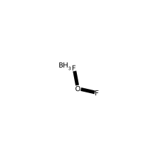 B.FOF